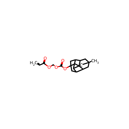 C=CC(=O)OCOC(=O)OC12CC3C4CC5(C)CC3C(C1)C(C5)C4C2